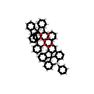 c1ccc(N2c3ccccc3C3(c4ccccc4-c4c(N(c5ccc6c(c5)C5(c7ccccc7-c7ccccc75)c5ccccc5-6)c5ccccc5-c5ccccc5-c5cccc6ccccc56)cccc43)c3ccccc32)cc1